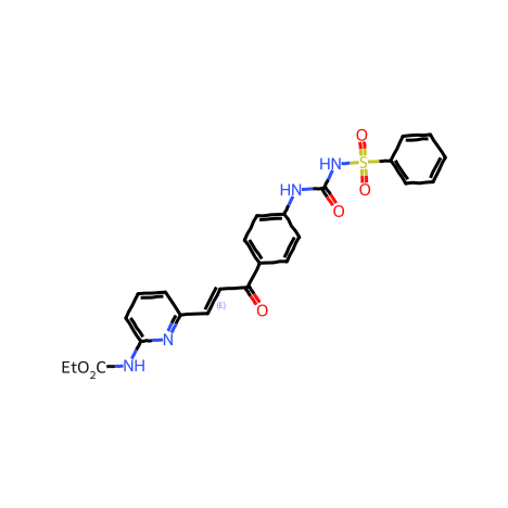 CCOC(=O)Nc1cccc(/C=C/C(=O)c2ccc(NC(=O)NS(=O)(=O)c3ccccc3)cc2)n1